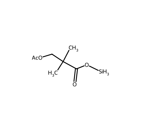 CC(=O)OCC(C)(C)C(=O)O[SiH3]